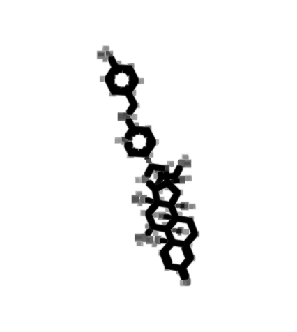 C[C@]12C=CC(=O)C=C1CC[C@H]1[C@@H]3C[C@H]4O[C@@H](c5ccc(NCc6ccc(N)cc6)nc5)O[C@@]4(C(O)CO)[C@@]3(C)C[C@H](O)[C@@]12F